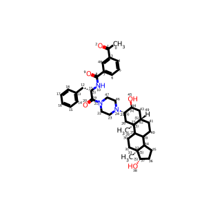 CC(=O)c1cccc(C(=O)N[C@@H](Cc2ccccc2)C(=O)N2CCN([C@H]3C[C@]4(C)C5CC[C@@]6(C)C(CC[C@@H]6O)C5CC[C@H]4C[C@@H]3O)CC2)c1